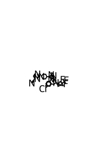 N#Cc1ccnc(N2CCC(c3nnc4n3-c3ccc(Cl)cc3CN(C35CC6(C(F)(F)F)CC36C5)C4)CC2)n1